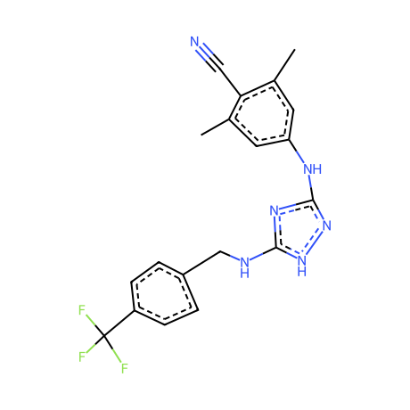 Cc1cc(Nc2n[nH]c(NCc3ccc(C(F)(F)F)cc3)n2)cc(C)c1C#N